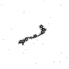 O=c1cc(-c2ccccc2)oc2cc(OCCCCc3cn(CCOCCOc4ccc(-c5cc(=O)c6cc(F)ccc6o5)cc4)nn3)ccc12